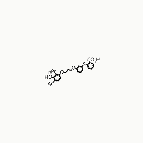 CCCc1c(OCCCOc2cccc(Sc3ccccc3C(=O)O)c2)ccc(C(C)=O)c1O